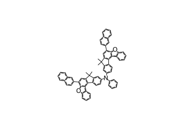 CC1(C)c2cc(N(c3ccccc3)c3ccc4c(c3)C(C)(C)c3cc(-c5ccc6ccccc6c5)c5oc6ccccc6c5c3-4)ccc2-c2c1cc(-c1ccc3ccccc3c1)c1oc3ccccc3c21